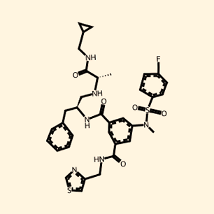 C[C@H](NC[C@H](Cc1ccccc1)NC(=O)c1cc(C(=O)NCc2cscn2)cc(N(C)S(=O)(=O)c2ccc(F)cc2)c1)C(=O)NCC1CC1